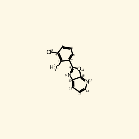 Cc1c(Cl)cccc1-c1nc2cccnc2o1